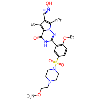 CCCc1c(/C=N/O)c(CC)c2c(=O)[nH]c(-c3cc(S(=O)(=O)N4CCN(CCO[N+](=O)[O-])CC4)ccc3OCC)nn12